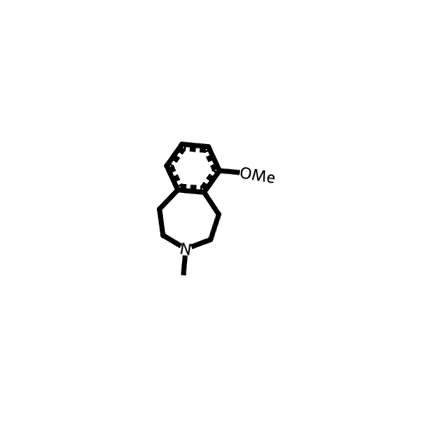 COc1cccc2c1CCN(C)CC2